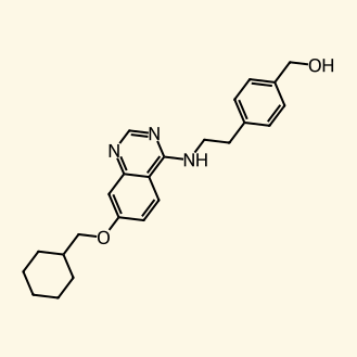 OCc1ccc(CCNc2ncnc3cc(OCC4CCCCC4)ccc23)cc1